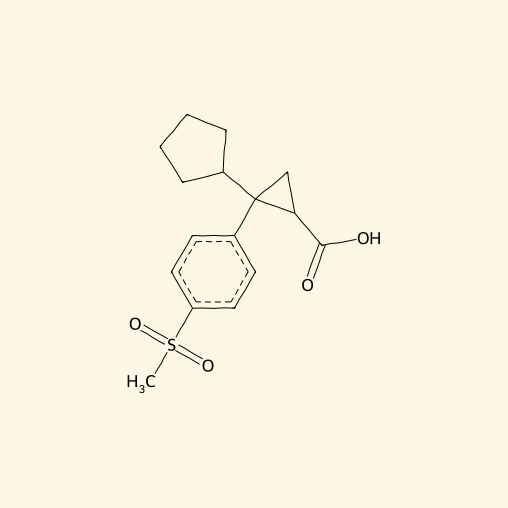 CS(=O)(=O)c1ccc(C2(C3CCCC3)CC2C(=O)O)cc1